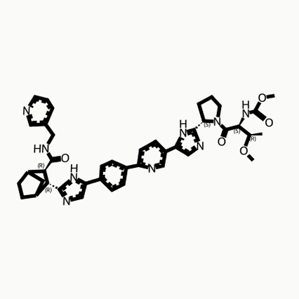 COC(=O)N[C@H](C(=O)N1CCC[C@H]1c1ncc(-c2ccc(-c3ccc(-c4cnc([C@@H]5C6CCC(C6)[C@H]5C(=O)NCc5cccnc5)[nH]4)cc3)nc2)[nH]1)[C@@H](C)OC